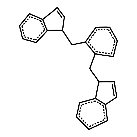 C1=CC(Cc2ccccc2CC2C=Cc3ccccc32)c2ccccc21